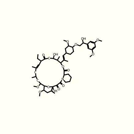 CCC1/C=C(\C)CC(C)CC(OC)C2OC(O)(C(=O)C(=O)N3CCCCC3C(=O)OC(C(C)=CC3CCC(OCC(O)c4cc(OC)cc(OC)c4)C(OC)C3)C(C)C(O)CC1=O)C(C)CC2OC